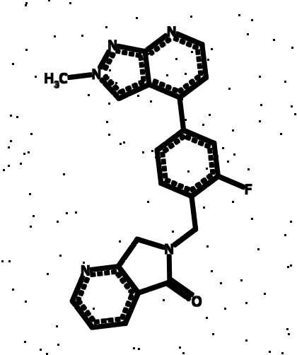 Cn1cc2c(-c3ccc(CN4Cc5ncccc5C4=O)c(F)c3)ccnc2n1